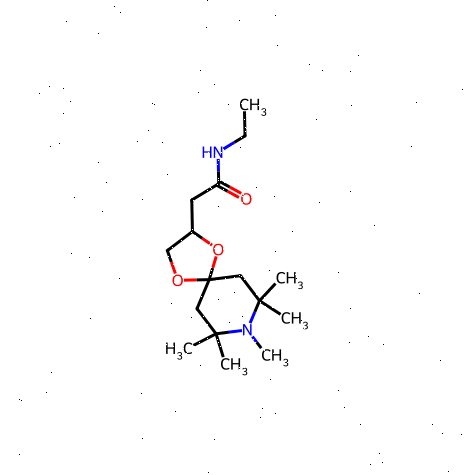 CCNC(=O)CC1COC2(CC(C)(C)N(C)C(C)(C)C2)O1